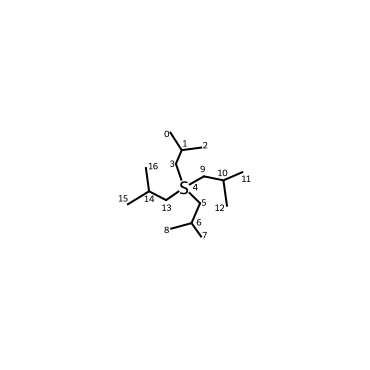 CC(C)CS(CC(C)C)(CC(C)C)CC(C)C